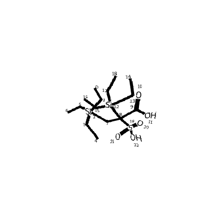 CC[Si](CC)(CC)CC(C(=O)O)([Si](CC)(CC)CC)S(=O)(=O)O